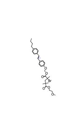 CCCCc1ccc(/C=C/c2ccc(OCOC(=O)C(C)(Br)CC(C)(C)C(=O)OCCOC)cc2)cc1